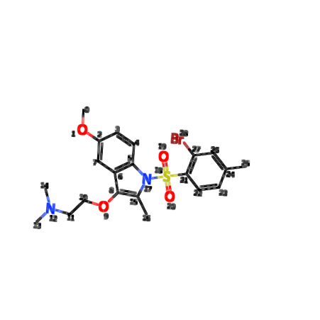 COc1ccc2c(c1)c(OCCN(C)C)c(C)n2S(=O)(=O)c1ccc(C)cc1Br